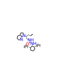 C=CCC(CNC(=O)Nc1c(C(C)C)cccc1C(C)C)n1ccc2cccnc21